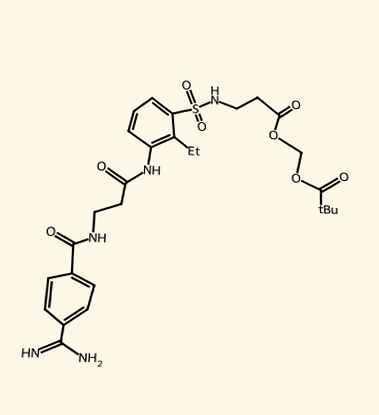 CCc1c(NC(=O)CCNC(=O)c2ccc(C(=N)N)cc2)cccc1S(=O)(=O)NCCC(=O)OCOC(=O)C(C)(C)C